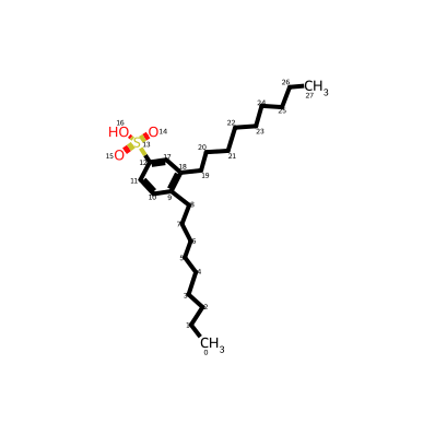 CCCCCCCCCc1ccc(S(=O)(=O)O)cc1CCCCCCCCC